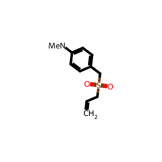 C=CCS(=O)(=O)Cc1ccc(NC)cc1